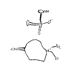 CC[N+]1(CC)CCC(=O)CC1.COS(=O)(=O)[O-]